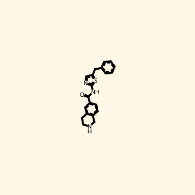 O=C(Nc1ncc(Cc2ccccc2)s1)c1ccc2c(c1)CCNC2